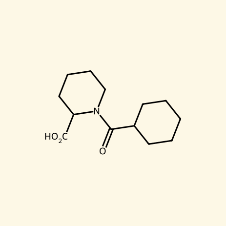 O=C(O)C1CCCCN1C(=O)C1CCCCC1